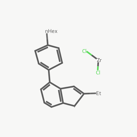 CCCCCCc1ccc(-c2cccc3c2C=C(CC)[CH]3)cc1.[Cl][Zr][Cl]